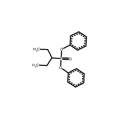 CCC(CC)P(=O)(Oc1ccccc1)Oc1ccccc1